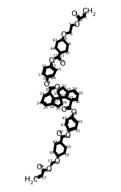 C=CC(=O)OCCOC1CCC(C(=O)Oc2ccc(OC(=O)c3cccc4c3C3(CC4)CCc4cccc(C(=O)Oc5ccc(OC(=O)C6CCC(OCOC(=O)C=C)CC6)cc5)c43)cc2)CC1